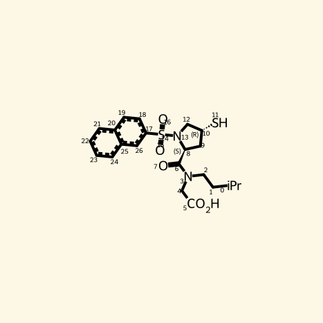 CC(C)CCN(CC(=O)O)C(=O)[C@@H]1C[C@@H](S)CN1S(=O)(=O)c1ccc2ccccc2c1